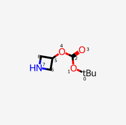 CC(C)(C)OC(=O)OC1CNC1